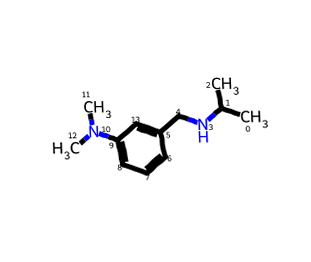 CC(C)NCc1cccc(N(C)C)c1